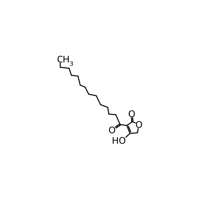 CCCCCCCCCCCCCC(=O)C1=C(O)COC1=O